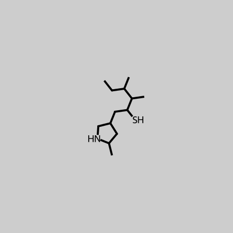 CCC(C)C(C)C(S)CC1CNC(C)C1